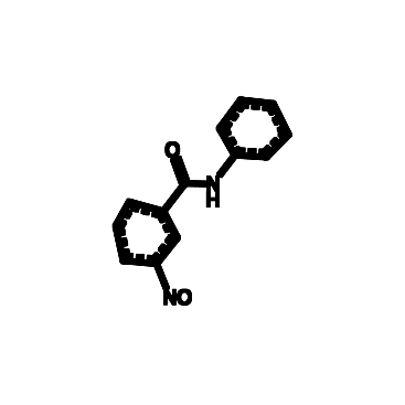 O=Nc1cccc(C(=O)Nc2ccccc2)c1